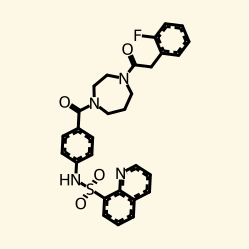 O=C(Cc1ccccc1F)N1CCCN(C(=O)c2ccc(NS(=O)(=O)c3cccc4cccnc34)cc2)CC1